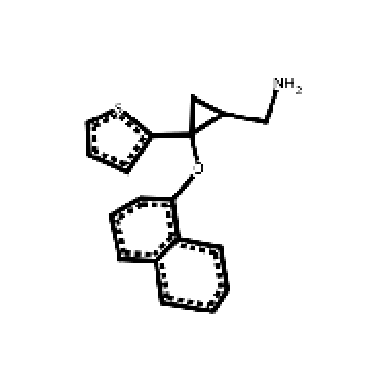 NCC1CC1(Oc1cccc2ccccc12)c1cccs1